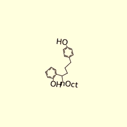 CCCCCCCCC(CCCc1ccc(O)cc1)c1ccccc1O